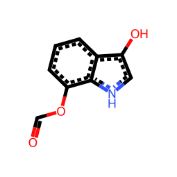 O=COc1cccc2c(O)c[nH]c12